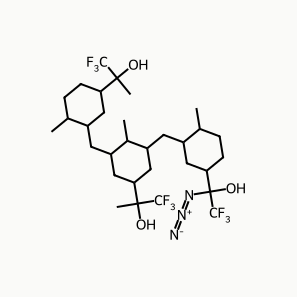 CC1CCC(C(C)(O)C(F)(F)F)CC1CC1CC(C(C)(O)C(F)(F)F)CC(CC2CC(C(O)(N=[N+]=[N-])C(F)(F)F)CCC2C)C1C